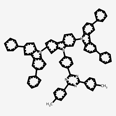 Cc1ccc(-c2nc(-c3ccc(C)cc3)nc(-c3ccc(-n4c5cc(-n6c7ccc(-c8ccccc8)cc7c7cc(-c8ccccc8)ccc76)ccc5c5ccc(-n6c7ccc(-c8ccccc8)cc7c7cc(-c8ccccc8)ccc76)cc54)cc3)n2)cc1